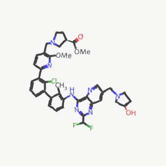 COC(=O)[C@@H]1CCN(Cc2ccc(-c3cccc(-c4cccc(Nc5nc(C(F)F)nc6cc(CN7CC[C@@H](O)C7)cnc56)c4C)c3Cl)nc2OC)C1